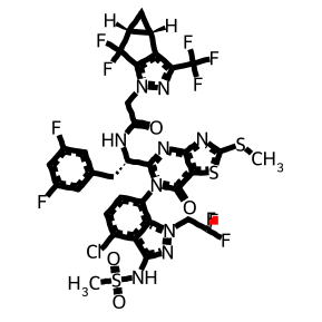 CSc1nc2nc([C@H](Cc3cc(F)cc(F)c3)NC(=O)Cn3nc(C(F)(F)F)c4c3C(F)(F)[C@@H]3C[C@H]43)n(-c3ccc(Cl)c4c(NS(C)(=O)=O)nn(CC(F)(F)F)c34)c(=O)c2s1